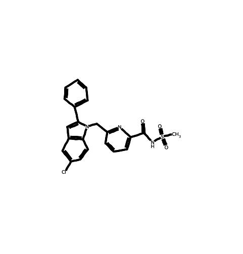 CS(=O)(=O)NC(=O)c1cccc(Cn2c(-c3ccccc3)cc3cc(Cl)ccc32)n1